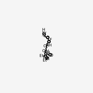 CCc1nc2c(cnn2CC)c(NC2CCOCC2)c1CNC(=O)CCCC(=O)NCc1ccc(F)c(-c2cccc(CN3C[C@H](C)NC[C@H]3C)c2)c1